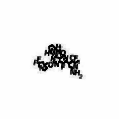 Cc1nc(N)cc(-c2nc3c4c(nc(OCC56CCN5CC(F)(F)C6)nc4c2F)N2C[C@H]4CC[C@H](N4)[C@H]2[C@H](C)O3)c1C(F)(F)F